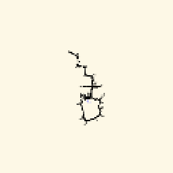 CCCCCCC(C)(C)/C1=N/CCCCCCC1